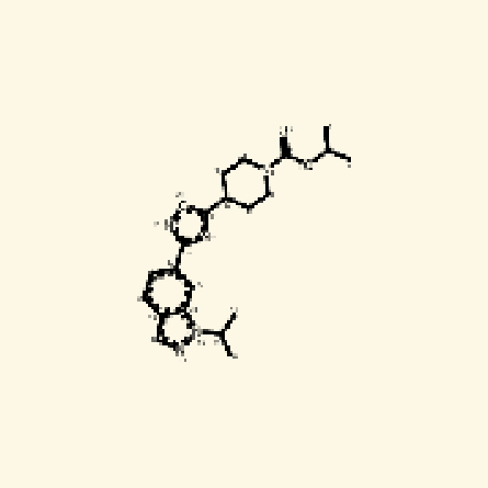 CC(C)OC(=O)N1CCC(c2nc(-c3ccc4cnn(C(C)C)c4c3)no2)CC1